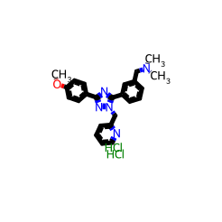 COc1ccc(-c2nc(-c3cccc(CN(C)C)c3)n(Cc3ccccn3)n2)cc1.Cl.Cl